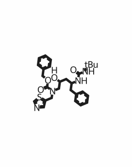 CC(C)(C)NC(=O)NC(Cc1ccccc1)CC(O)CN(Cc1cncs1)C(=O)OCc1ccccc1